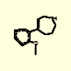 COc1ccccc1C1=CCNCCC1